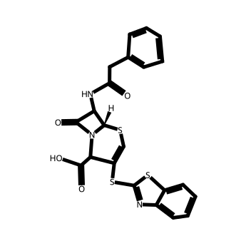 O=C(Cc1ccccc1)NC1C(=O)N2C(C(=O)O)C(Sc3nc4ccccc4s3)=CS[C@@H]12